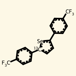 FC(F)(F)c1ccc(-c2cc[13c](-c3ccc(C(F)(F)F)cc3)[se]2)cc1